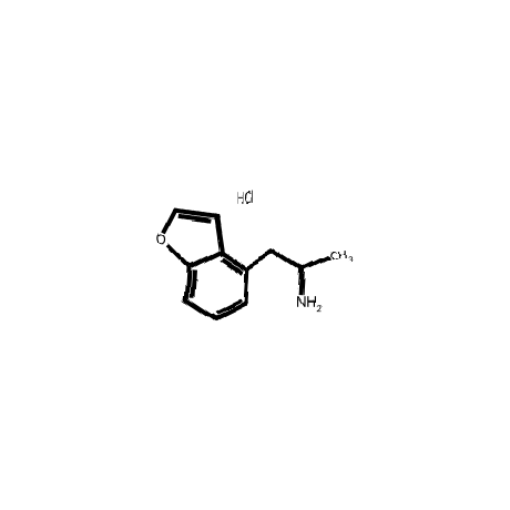 CC(N)Cc1cccc2occc12.Cl